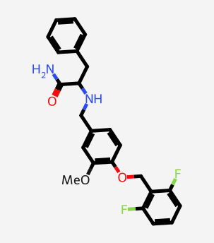 COc1cc(CNC(Cc2ccccc2)C(N)=O)ccc1OCc1c(F)cccc1F